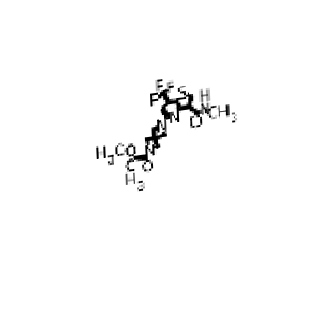 CNC(=O)c1csc2c(C(F)(F)F)cc(N3CC4(CN(C(=O)[C@@H](C)OC)C4)C3)nc12